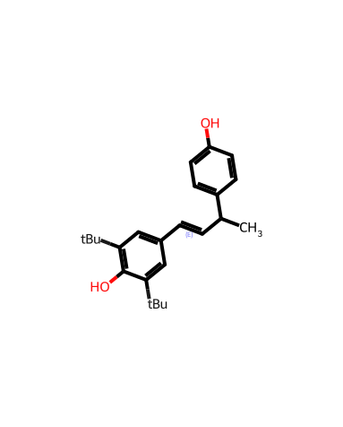 CC(/C=C/c1cc(C(C)(C)C)c(O)c(C(C)(C)C)c1)c1ccc(O)cc1